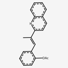 CC(=O)Oc1ccccc1/C=C(\C)c1ccc2ccccc2n1